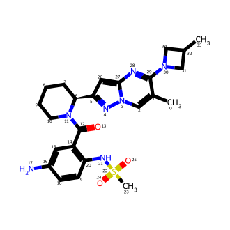 Cc1cn2nc([C@@H]3CCCCN3C(=O)c3cc(N)ccc3NS(C)(=O)=O)cc2nc1N1CC(C)C1